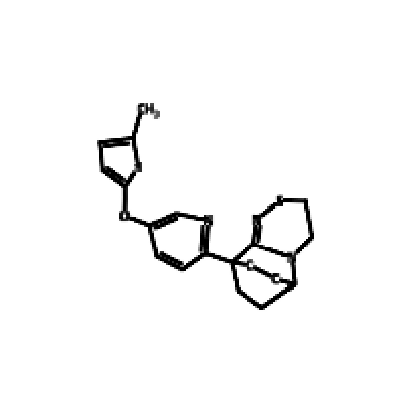 Cc1ccc(Oc2ccc(C34CCC(CC3)N3CCSN=C34)nc2)s1